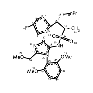 CCCO[C@@H](c1ncc(F)cn1)[C@H](C)S(=O)(=O)Nc1nnc(COC)n1-c1c(OC)cccc1OC